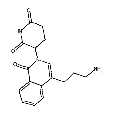 NCCCc1cn(C2CCC(=O)NC2=O)c(=O)c2ccccc12